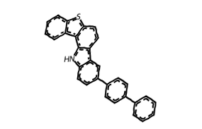 c1ccc(-c2ccc(-c3ccc4[nH]c5c(ccc6sc7ccccc7c65)c4c3)cc2)cc1